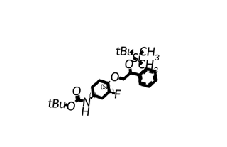 CC(C)(C)OC(=O)N[C@H]1CC[C@H](OCC(O[Si](C)(C)C(C)(C)C)c2ccccc2)[C@@H](F)C1